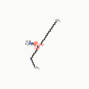 CCCCCCC/C=C\CCCCCCCC(=O)O[C@H](COC(=O)CCCCCCCCCCCCCCCCCCCCC)COP(=O)([O-])OCC[N+](C)(C)C